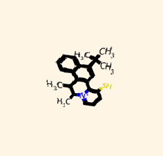 CC1c2c(cc(C(C)(C)C)c3ccccc23)-c2c(S)ccc[n+]2C1C